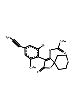 CC#Cc1cc(Br)c(C2=C(OC(=O)OC)C3(CCOCC3)NC2=O)c(OC)c1